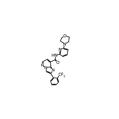 O=C(Nc1cccc(N2CCOCC2)n1)c1ccnn2cc(-c3ccccc3C(F)(F)F)nc12